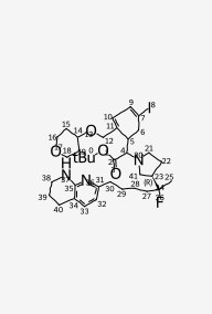 CC(C)(C)OC(=O)C(C1CC(I)=CC=C1COC1CCOCC1)N1CC[C@@H](C(C)(F)CCCCc2ccc3c(n2)NCCC3)C1